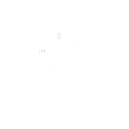 O=C1NC(=O)C(=Cc2ccccc2O)C(=O)N1